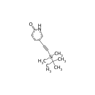 CC(C)(C)[Si](C)(C)C#Cc1ccc(=O)[nH]c1